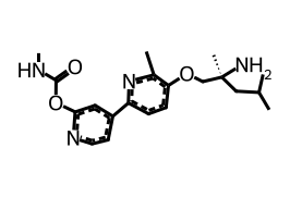 CNC(=O)Oc1cc(-c2ccc(OC[C@@](C)(N)CC(C)C)c(C)n2)ccn1